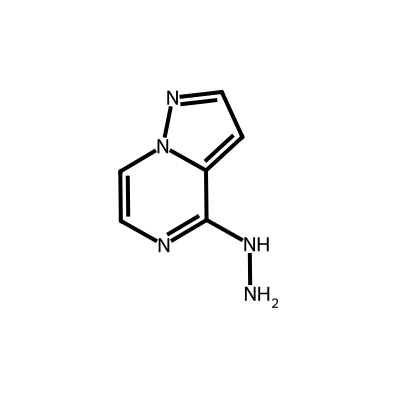 NNc1nccn2nccc12